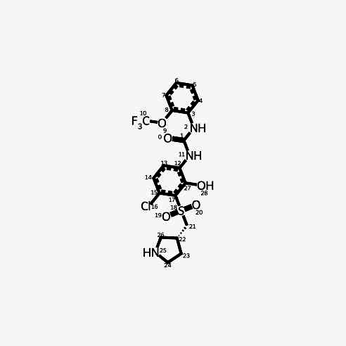 O=C(Nc1ccccc1OC(F)(F)F)Nc1ccc(Cl)c(S(=O)(=O)C[C@@H]2CCNC2)c1O